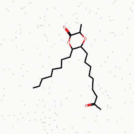 CCCCCCCCC1OC(=O)C(C)OC1CCCCCCCC(C)=O